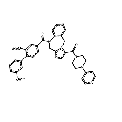 COc1cccc(-c2ccc(C(=O)N3Cc4ccc(C(=O)N5CCN(c6ccncc6)CC5)n4Cc4ccccc43)cc2OC)c1